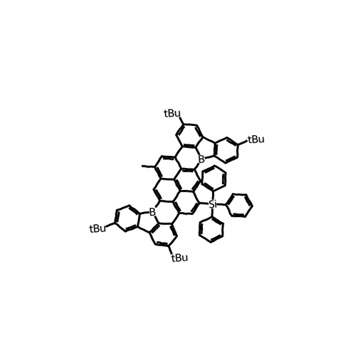 Cc1cc2c3c(cc4c([Si](c5ccccc5)(c5ccccc5)c5ccccc5)cc5c6c(cc1c3c46)B1c3ccc(C(C)(C)C)cc3-c3cc(C(C)(C)C)cc-5c31)B1c3ccc(C(C)(C)C)cc3-c3cc(C(C)(C)C)cc-2c31